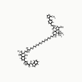 Cc1ncsc1-c1ccc(CNC(=O)[C@@H]2C[C@@H](O)CN2C(=O)[C@@H](NC(=O)CCOCCOCCOCCOCCOCCC(=O)NCCN(C)C(=O)c2ccc(-c3cc(C(=O)N[C@@H]4CCc5ccccc54)no3)cc2O)C(C)(C)C)cc1